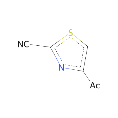 CC(=O)c1csc(C#N)n1